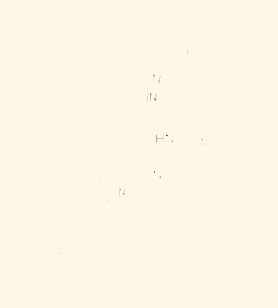 O=C1NNC2NC(CN3CCN(S(=O)(=O)c4cccc(F)c4)CC3)=Nc3cccc1c32